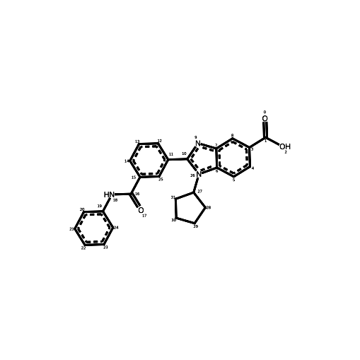 O=C(O)c1ccc2c(c1)nc(-c1cccc(C(=O)Nc3ccccc3)c1)n2C1CCCC1